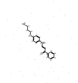 O=C(C=CNc1ccc(OCCC[18F])cc1)c1ccccc1